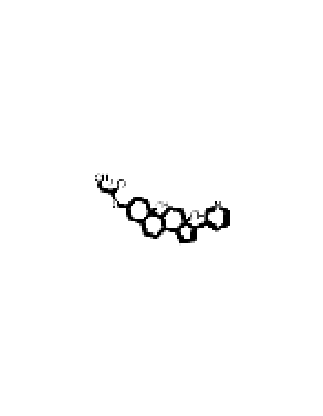 CCC(=O)OC1CCC2(C)C(=CCC3C4=CC=C(c5cccnc5)C4(C)CCC32)C1